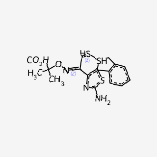 CC(C)(O/N=C(\C=[SH]/[SH]1Cc2ccccc2C1)c1csc(N)n1)C(=O)O